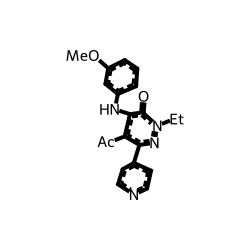 CCn1nc(-c2ccncc2)c(C(C)=O)c(Nc2cccc(OC)c2)c1=O